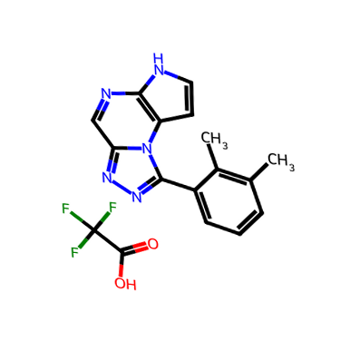 Cc1cccc(-c2nnc3cnc4[nH]ccc4n23)c1C.O=C(O)C(F)(F)F